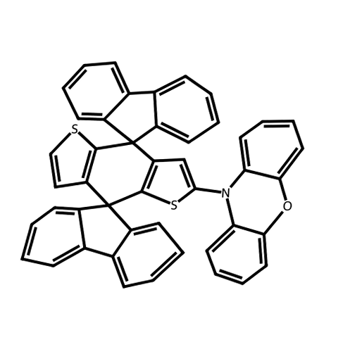 c1ccc2c(c1)Oc1ccccc1N2c1cc2c(s1)C1(c3ccccc3-c3ccccc31)c1ccsc1C21c2ccccc2-c2ccccc21